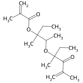 C=C(C)C(=O)OC(C)(CC)C(C)OC(C)(CC)C(=O)C(=C)C